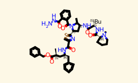 CC[C@H](C)[C@H](NC(=O)[C@H]1CCCCN1C)C(=O)N[C@@H]1C[C@H](c2nc(C(=O)N[C@@H](Cc3ccccc3)C[C@H](C)C(=O)OCc3ccccc3)cs2)N(C(=O)c2ccccc2C(=O)NN)C1C